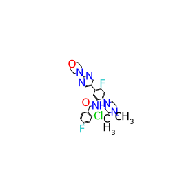 C[C@@H]1CN(c2cc(F)c(-c3cnc(N4CCOCC4)nc3)cc2NC(=O)c2ccc(F)cc2Cl)CCN1C